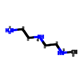 N#CNCCNCCN